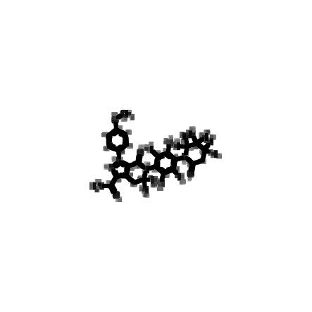 [2H]c1c([2H])c(N2C(=O)CC([2H])([2H])C([2H])([2H])C2([2H])[2H])c([2H])c([2H])c1N1C(=O)c2c(c(C(N)=O)nn2-c2ccc(OC)cc2)CC1([2H])[2H]